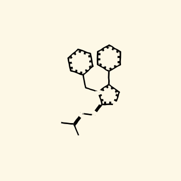 CC(C)=NN=c1scc(-c2ccccc2)n1Cc1ccccc1